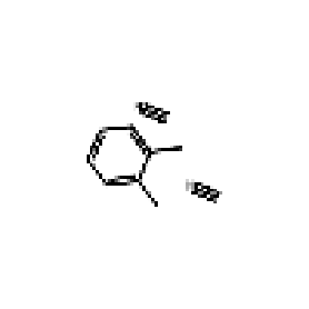 C#N.C#N.Cc1ccccc1C